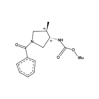 C[C@@H]1CN(C(=O)c2ccccc2)C[C@H]1NC(=O)OC(C)(C)C